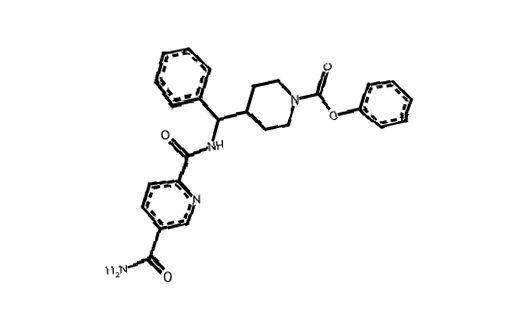 NC(=O)c1ccc(C(=O)NC(c2ccccc2)C2CCN(C(=O)Oc3ccccc3)CC2)nc1